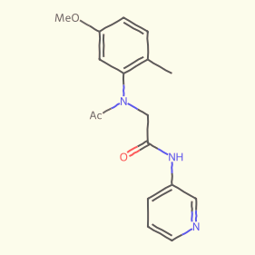 COc1ccc(C)c(N(CC(=O)Nc2cccnc2)C(C)=O)c1